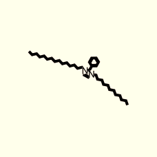 CCCCCCCCCCCCCCCN1C=CN(CCCCCCCCCCCC)C1c1ccccc1